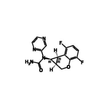 NC(=O)N(c1cnccn1)[C@@H]1[C@@H]2COc3c(F)ccc(F)c3[C@@H]21